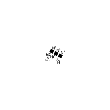 C#N.C#N.C#N.[P]